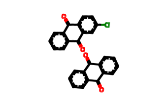 O=C1c2ccccc2C(=O)c2cc(Cl)ccc21.O=C1c2ccccc2C(=O)c2ccccc21